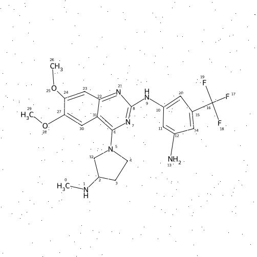 CNC1CCN(c2nc(Nc3cc(N)cc(C(F)(F)F)c3)nc3cc(OC)c(OC)cc23)C1